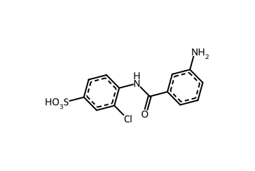 Nc1cccc(C(=O)Nc2ccc(S(=O)(=O)O)cc2Cl)c1